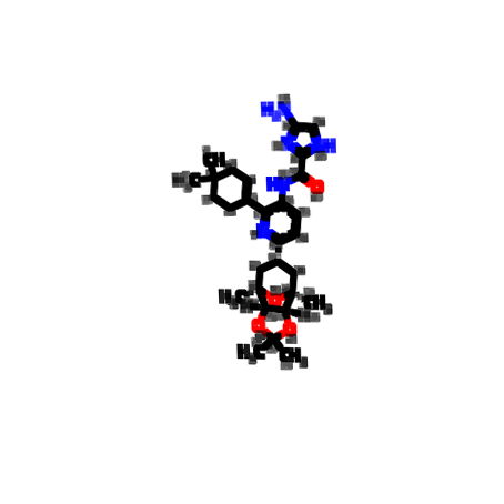 CC1(C)CC=C(c2nc([C@H]3C[C@@]4(C)O[C@@](C)(C3)[C@@H]3OC(C)(C)O[C@@H]34)ccc2NC(=O)c2nc(N)c[nH]2)CC1